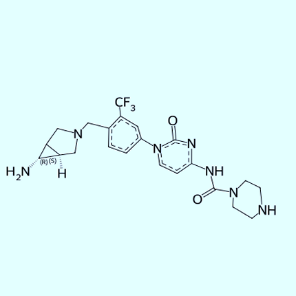 N[C@@H]1C2CN(Cc3ccc(-n4ccc(NC(=O)N5CCNCC5)nc4=O)cc3C(F)(F)F)C[C@H]21